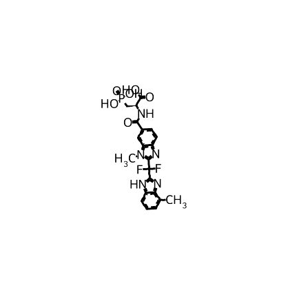 Cc1cccc2[nH]c(C(F)(F)c3nc4ccc(C(=O)N[C@@H](CP(=O)(O)O)C(=O)O)cc4n3C)nc12